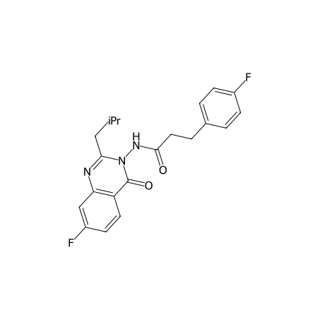 CC(C)Cc1nc2cc(F)ccc2c(=O)n1NC(=O)CCc1ccc(F)cc1